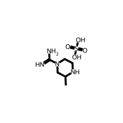 CC1CN(C(=N)N)CCN1.O=S(=O)(O)O